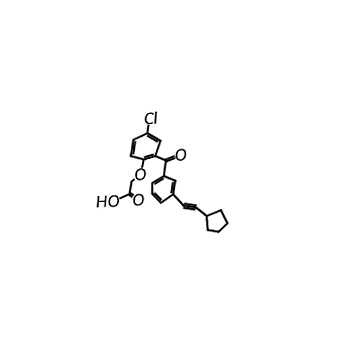 O=C(O)COc1ccc(Cl)cc1C(=O)c1cccc(C#CC2CCCC2)c1